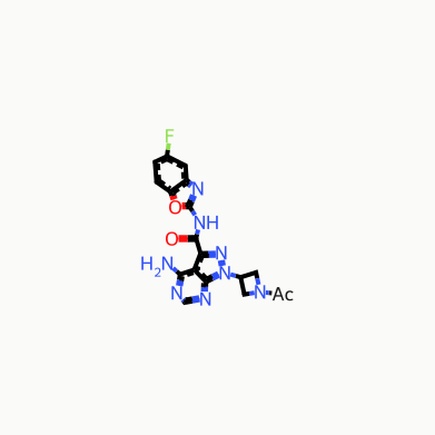 CC(=O)N1CC(n2nc(C(=O)Nc3nc4cc(F)ccc4o3)c3c(N)ncnc32)C1